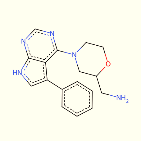 NCC1CN(c2ncnc3[nH]cc(-c4ccccc4)c23)CCO1